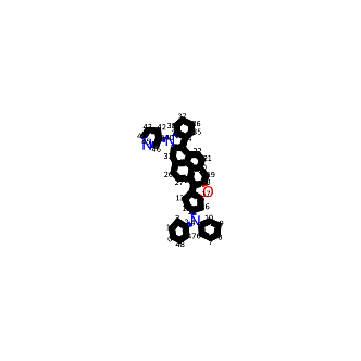 c1ccc(N(c2ccccc2)c2ccc3c(c2)oc2cc4ccc5c6c(ccc(c23)c46)cc2c5c3ccccc3n2-c2cccnc2)cc1